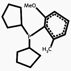 COc1cccc(C)c1P(C1CCCC1)C1CCCC1